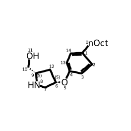 CCCCCCCCc1ccc(O[C@@H]2CN[C@H](CO)C2)cc1